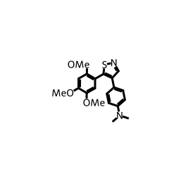 COc1cc(OC)c(-c2sncc2-c2ccc(N(C)C)cc2)cc1OC